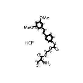 COc1cc(C=Cc2ccc(OC(=O)OCCNC(=O)C(N)CS)cc2)cc(OC)c1.Cl